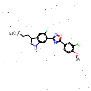 CCOC(=O)CCC1CNc2cc(-c3noc(-c4ccc(OC(C)C)c(Cl)c4)n3)c(F)cc21